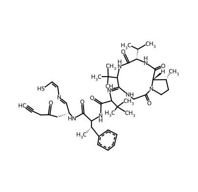 C#CCC(=O)C[C@H](/C=N/C=C\S)NC(=O)C(NC(=O)C(/N=C1\NCC(=O)N2CC[C@@H](C)[C@H]2C(=O)N[C@@H](C(C)C)C(=O)NC1C(C)(C)C)C(C)(C)C)[C@@H](C)c1ccccc1